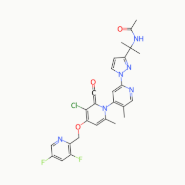 CC(=O)NC(C)(C)c1ccn(-c2cc(N3C(=C=O)C(Cl)=C(OCc4ncc(F)cc4F)C=C3C)c(C)cn2)n1